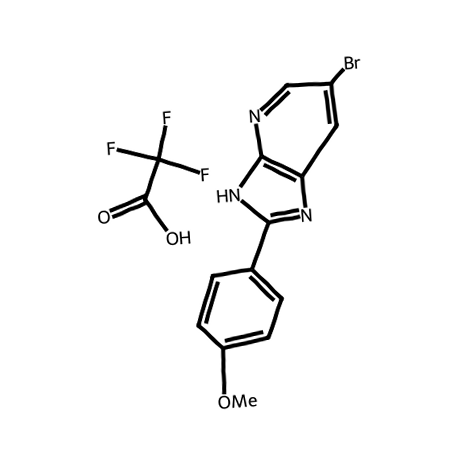 COc1ccc(-c2nc3cc(Br)cnc3[nH]2)cc1.O=C(O)C(F)(F)F